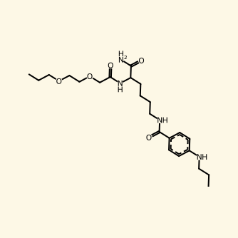 CCCNc1ccc(C(=O)NCCCCC(NC(=O)COCCOCCC)C(N)=O)cc1